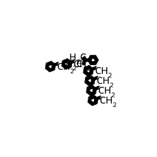 C=CC(=C)c1ccccc1.C=Cc1ccccc1.C=Cc1ccccc1.C=Cc1ccccc1.C=Cc1ccccc1.C=Cc1ccccc1.C=Cc1ccccc1